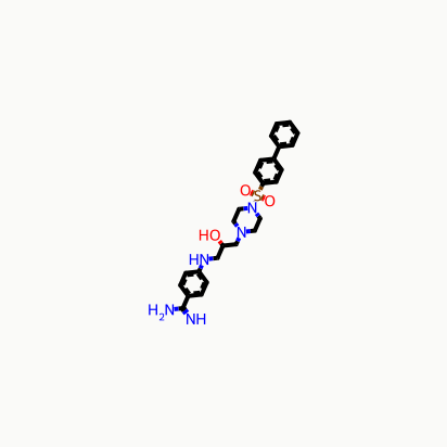 N=C(N)c1ccc(NCC(O)CN2CCN(S(=O)(=O)c3ccc(-c4ccccc4)cc3)CC2)cc1